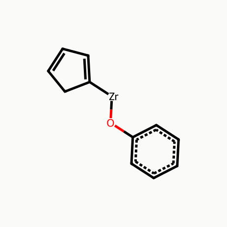 C1=CC[C]([Zr][O]c2ccccc2)=C1